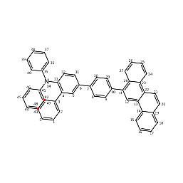 c1ccc(-c2cc(-c3ccc(-c4cc5c6ccccc6ccc5c5ccccc45)cc3)ccc2N(c2ccccc2)c2ccccc2)cc1